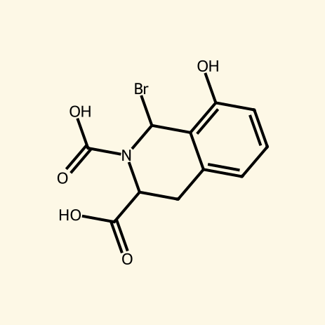 O=C(O)C1Cc2cccc(O)c2C(Br)N1C(=O)O